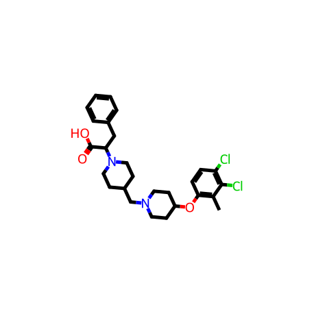 Cc1c(OC2CCN(CC3CCN(C(Cc4ccccc4)C(=O)O)CC3)CC2)ccc(Cl)c1Cl